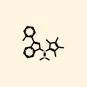 CC1=C(C)C(C)[C]([Zr]([CH]2C=C(c3ccccc3C)c3ccccc32)=[Si](C)C)=C1C